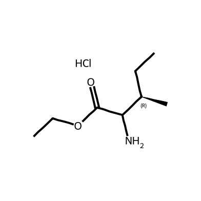 CCOC(=O)C(N)[C@H](C)CC.Cl